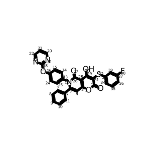 O=c1oc2cc(-c3ccccc3)n(-c3ccc(Oc4ncccn4)cc3)c(=O)c2c(O)c1Sc1cccc(F)c1